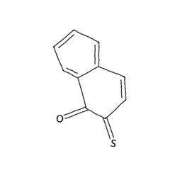 O=C1C(=S)C=Cc2ccccc21